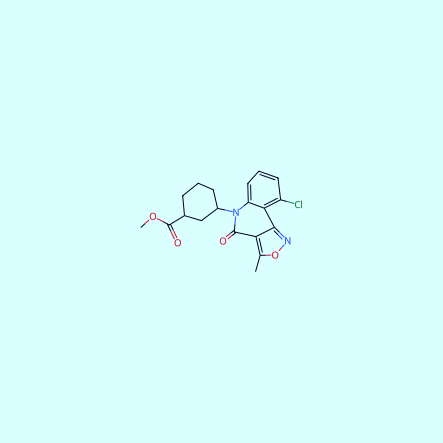 COC(=O)C1CCCC(n2c(=O)c3c(C)onc3c3c(Cl)cccc32)C1